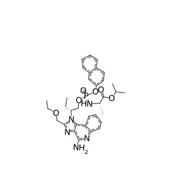 CCOCc1nc2c(N)nc3ccccc3c2n1[C@H](CC)CO[P@@](=O)(N[C@@H](C)C(=O)OC(C)C)Oc1ccc2ccccc2c1